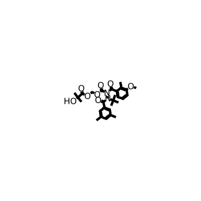 COc1cccc(C(=O)N(C(=O)OCOC(=O)C(C)(C)O)N(C(=O)c2cc(C)cc(C)c2)C(C)(C)C)c1C